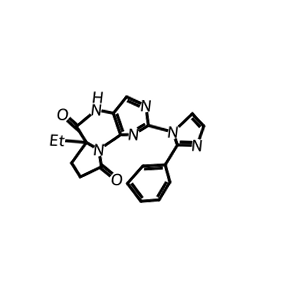 CCC12CCC(=O)N1c1nc(-n3ccnc3-c3ccccc3)ncc1NC2=O